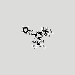 CC(C)(C)Nc1nc(NSC2CCCC2)nc(NC(C)(C)C)n1